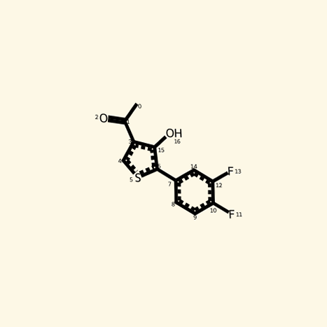 CC(=O)c1csc(-c2ccc(F)c(F)c2)c1O